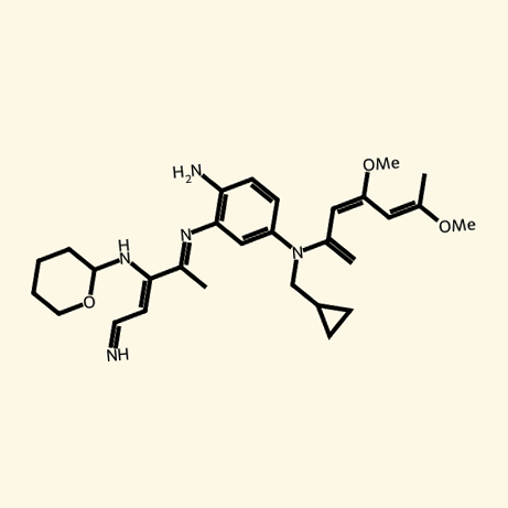 C=C(/C=C(\C=C(/C)OC)OC)N(CC1CC1)c1ccc(N)c(/N=C(C)/C(=C/C=N)NC2CCCCO2)c1